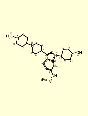 CCC[C@H](C)Nc1ncc2c(C3CCN(C4CCN(C)CC4)CC3)cn(C3CCC(O)CC3)c2n1